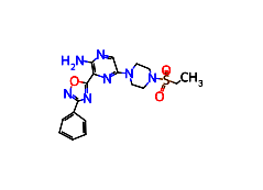 CCS(=O)(=O)N1CCN(c2cnc(N)c(-c3nc(-c4ccccc4)no3)n2)CC1